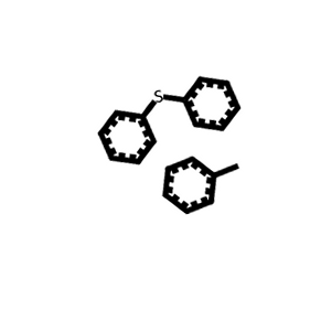 Cc1ccccc1.c1ccc(Sc2ccccc2)cc1